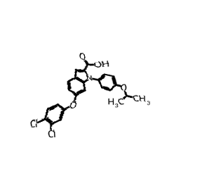 CC(C)Oc1ccc(-n2c(C(=O)O)cc3ccc(Oc4ccc(Cl)c(Cl)c4)cc32)cc1